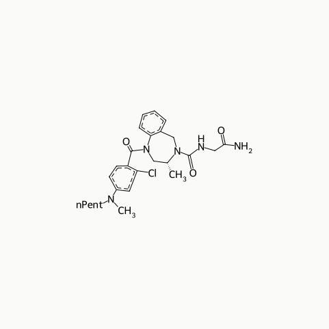 CCCCCN(C)c1ccc(C(=O)N2C[C@@H](C)N(C(=O)NCC(N)=O)Cc3ccccc32)c(Cl)c1